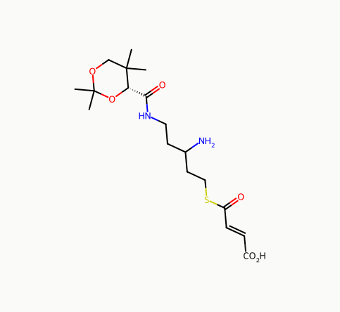 CC1(C)OCC(C)(C)[C@H](C(=O)NCCC(N)CCSC(=O)/C=C/C(=O)O)O1